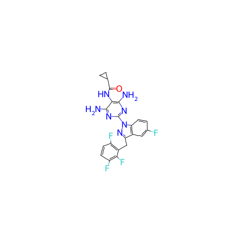 Nc1nc(-n2nc(Cc3c(F)ccc(F)c3F)c3cc(F)ccc32)nc(N)c1NC(=O)C1CC1